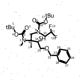 CN(C(=O)OC(C)(C)C)[C@](C)(CN(CC(F)F)C(=O)OC(C)(C)C)C(S)COCc1ccccc1